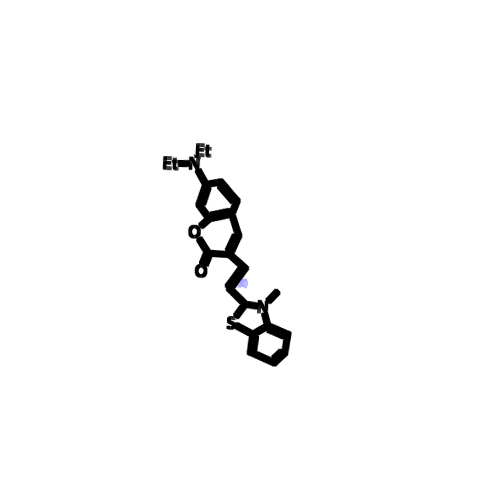 CCN(CC)c1ccc2cc(/C=C/C3Sc4ccccc4N3C)c(=O)oc2c1